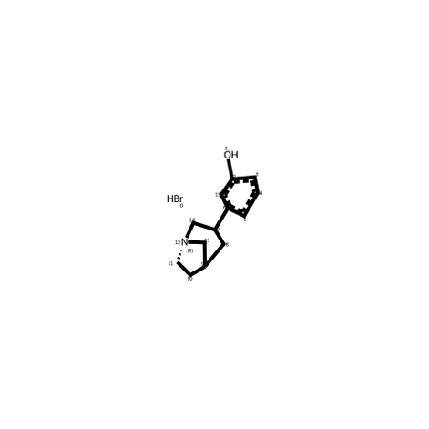 Br.Oc1cccc(C2CC3CC[N@@](C3)C2)c1